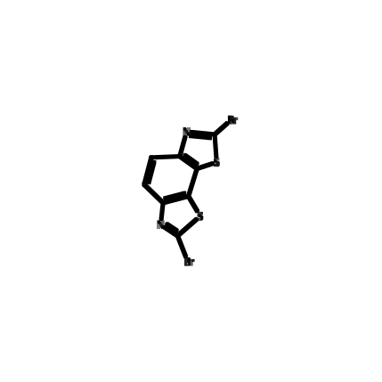 Brc1nc2ccc3nc(Br)sc3c2s1